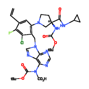 C=Cc1cc(N2CC[C@](NC(=O)OC(C)(C)C)(C(=O)NC3CC3)C2)c(Cn2cnc3c(N(C(=O)O)C(=O)OC(C)(C)C)ncnc32)c(Cl)c1F